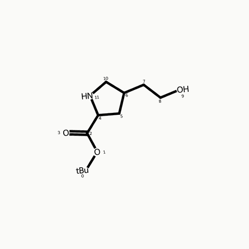 CC(C)(C)OC(=O)C1CC(CCO)CN1